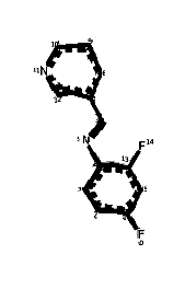 Fc1ccc(N=Cc2cccnc2)c(F)c1